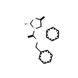 O=C1O[C@H](P)N(C(=O)OCc2ccccc2)[C@H]1c1ccccc1